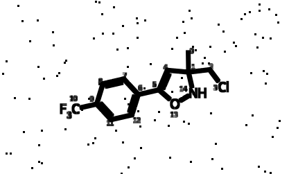 CC1(CCl)C=C(c2ccc(C(F)(F)F)cc2)ON1